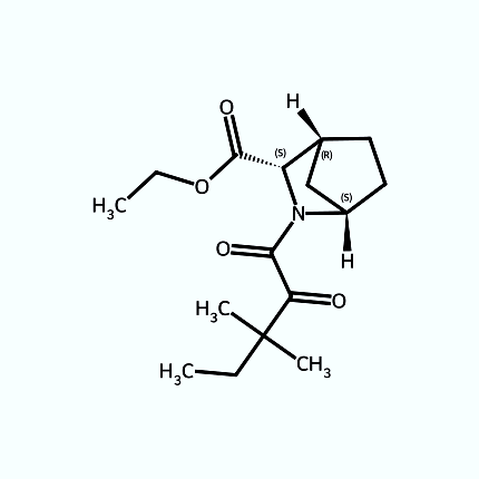 CCOC(=O)[C@@H]1[C@@H]2CC[C@@H](C2)N1C(=O)C(=O)C(C)(C)CC